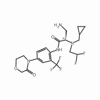 NC[C@H](C(=O)Nc1ccc(N2CCOCC2=O)cc1C(F)(F)F)N(CC(F)F)CC1CC1